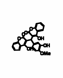 COc1ccc(C(c2c(O)c3ccccc3oc2=O)c2c(O)c3ccccc3oc2=O)cc1O